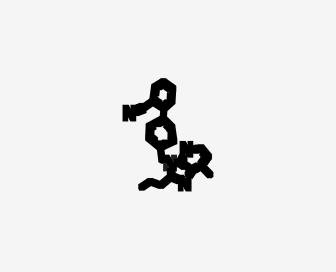 CCCc1nc2c(C)ccnc2n1Cc1ccc(-c2ccccc2C#N)cc1